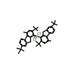 Cc1cc(C(C)(C)C)[c]([Zr]([Cl])([Cl])[c]2c(C(C)(C)C)cc(C)c3c2Cc2cc(C(C)(C)C)ccc2-3)c2c1-c1ccc(C(C)(C)C)cc1C2